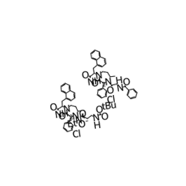 CC1CCN(C(Cc2cccc3ccccc23)C(N)=O)C(=O)C(c2cccc(Cl)c2)N1C(=O)CNC(=O)c1ccccc1.CC[N+]([O-])(C(=O)CCNC(=O)OC(C)(C)C)N1C(C)CCN(C(Cc2cccc3ccccc23)C(N)=O)C(=O)C1c1cccc(Cl)c1